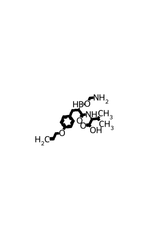 C=CCOc1ccc(C[C@H](BOCN)C(=O)N[C@H](C(=O)O)C(C)C)cc1